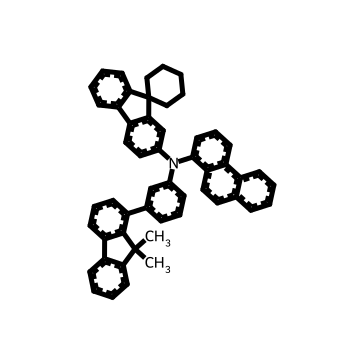 CC1(C)c2ccccc2-c2cccc(-c3cccc(N(c4ccc5c(c4)C4(CCCCC4)c4ccccc4-5)c4cccc5c4ccc4ccccc45)c3)c21